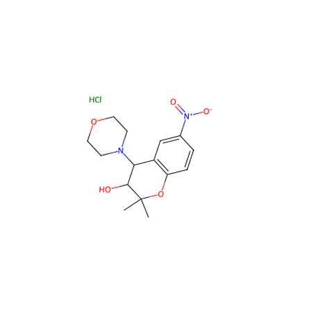 CC1(C)Oc2ccc([N+](=O)[O-])cc2C(N2CCOCC2)C1O.Cl